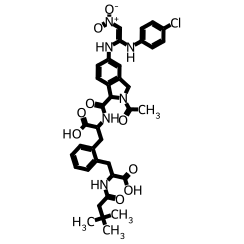 CC(=O)N1Cc2cc(NC(=C[N+](=O)[O-])Nc3ccc(Cl)cc3)ccc2C1C(=O)NC(Cc1ccccc1CC(NC(=O)CC(C)(C)C)C(=O)O)C(=O)O